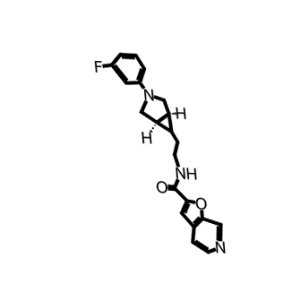 O=C(NCCC1[C@H]2CN(c3cccc(F)c3)C[C@@H]12)c1cc2ccncc2o1